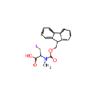 CN(C(=O)OCC1c2ccccc2-c2ccccc21)C(CI)C(=O)O